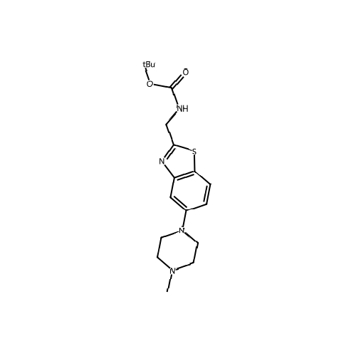 CN1CCN(c2ccc3sc(CNC(=O)OC(C)(C)C)nc3c2)CC1